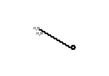 NCCC(N)CCCCCCCCCCCCCCCCCCc1ccccc1